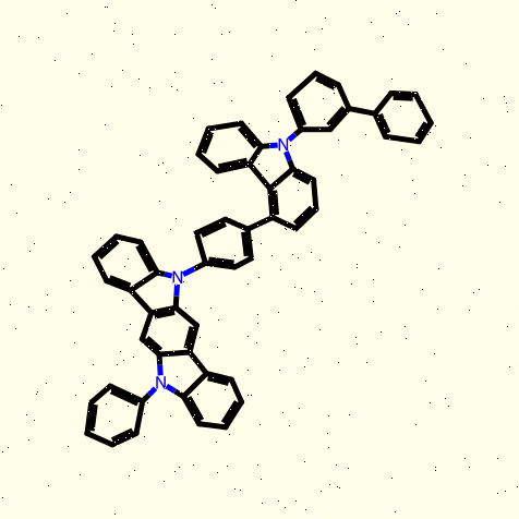 c1ccc(-c2cccc(-n3c4ccccc4c4c(-c5ccc(-n6c7ccccc7c7cc8c(cc76)c6ccccc6n8-c6ccccc6)cc5)cccc43)c2)cc1